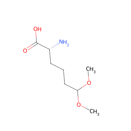 COC(CCC[C@@H](N)C(=O)O)OC